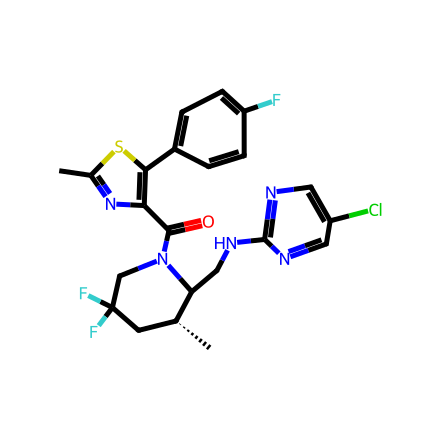 Cc1nc(C(=O)N2CC(F)(F)C[C@@H](C)C2CNc2ncc(Cl)cn2)c(-c2ccc(F)cc2)s1